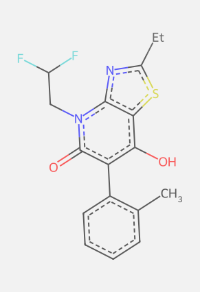 CCc1nc2c(s1)c(O)c(-c1ccccc1C)c(=O)n2CC(F)F